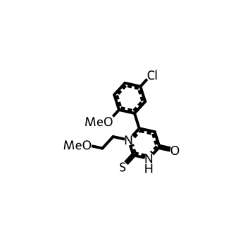 COCCn1c(-c2cc(Cl)ccc2OC)cc(=O)[nH]c1=S